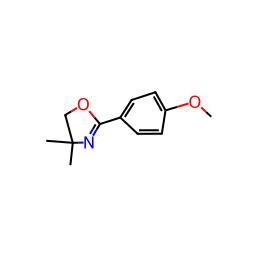 COc1ccc(C2=NC(C)(C)CO2)cc1